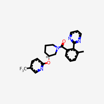 Cc1cccc(C(=O)N2CCC[C@@H](Oc3ccc(C(F)(F)F)cn3)C2)c1-c1ncccn1